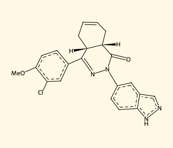 COc1ccc(C2=NN(c3ccc4[nH]ncc4c3)C(=O)[C@H]3CC=CC[C@@H]23)cc1Cl